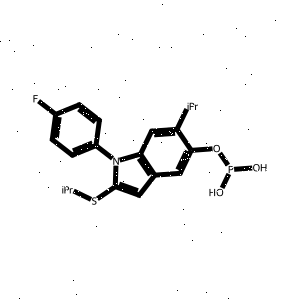 CC(C)Sc1cc2cc(OP(O)O)c(C(C)C)cc2n1-c1ccc(F)cc1